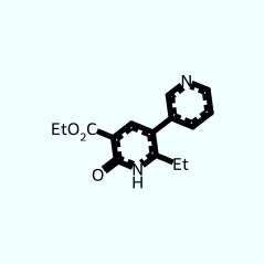 CCOC(=O)c1cc(-c2cccnc2)c(CC)[nH]c1=O